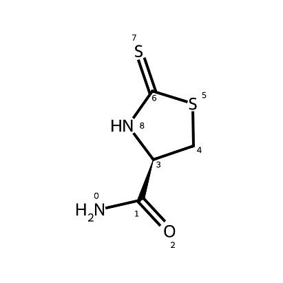 NC(=O)[C@@H]1CSC(=S)N1